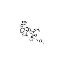 CCCC1CCCCN1C(=O)c1cc(C(=O)N[C@@H](CC(=O)O)c2cccc(C)c2)nn1CC